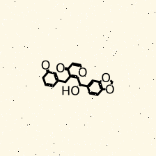 O=C1C=C(Cc2c(C(O)c3ccc4c(c3)OCO4)occc2=O)C=CC1